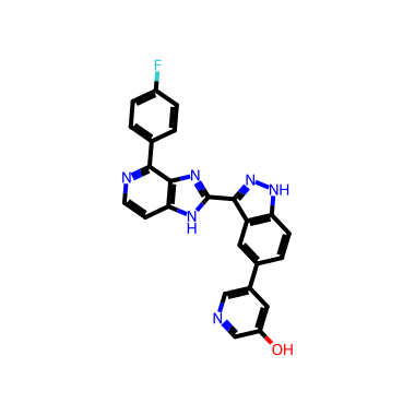 Oc1cncc(-c2ccc3[nH]nc(-c4nc5c(-c6ccc(F)cc6)nccc5[nH]4)c3c2)c1